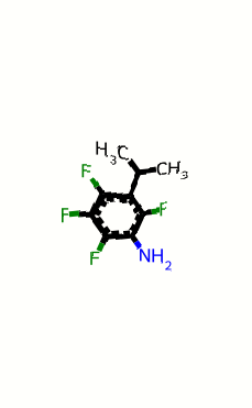 CC(C)c1c(F)c(N)c(F)c(F)c1F